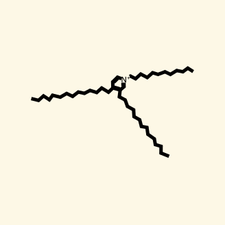 CCCCCCCCCCCCCCc1cc[n+](CCCCCCCCCCCC)cc1CCCCCCCCCCCCCC